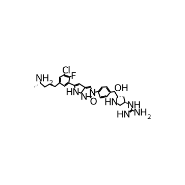 C[C@H](N)CCCc1cc(Cl)c(F)c(-c2cc3cn(-c4ccc([C@@H](O)[C@@H]5C[C@@H](NC(=N)N)CN5)cc4)c(=O)nc3[nH]2)c1